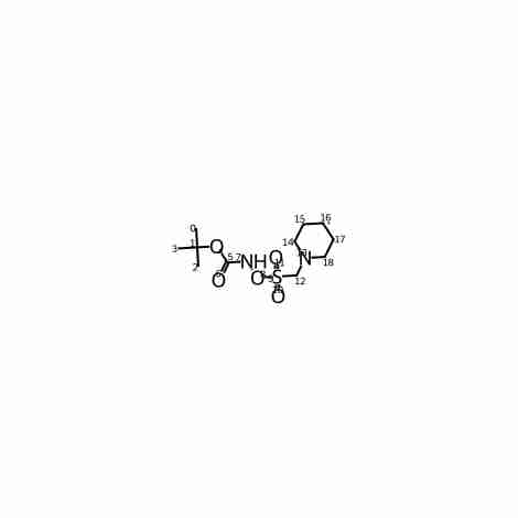 CC(C)(C)OC(=O)NOS(=O)(=O)CN1CC[CH]CC1